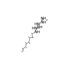 CCCCCCCCNNNNNN